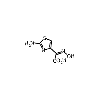 Nc1nc(C(=NO)C(=O)O)cs1